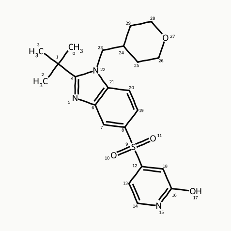 CC(C)(C)c1nc2cc(S(=O)(=O)c3ccnc(O)c3)ccc2n1CC1CCOCC1